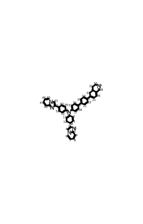 C1=C[C@H](c2cn3ccccc3n2)CC=C1N(c1ccc(-c2ccc(C3=CC=C4C=NCCC4C3)cc2)cc1)c1ccc(-c2cn3ccccc3n2)cc1